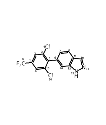 FC(F)(F)c1cc(Cl)c(-c2ccc3cn[nH]c3c2)c(Cl)c1